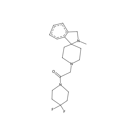 CN1Cc2ccccc2C12CCN(CC(=O)N1CCC(F)(F)CC1)CC2